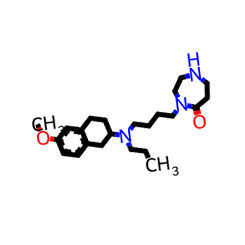 CCCN(CCCCN1CCNCCC1=O)C1CCc2cc(OC)ccc2C1